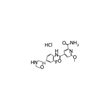 COc1cc(C(=O)Nc2ccc([C@H]3CNCCO3)cc2F)cc(C(N)=O)n1.Cl